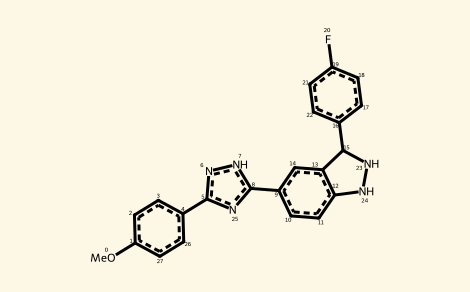 COc1ccc(-c2n[nH]c(-c3ccc4c(c3)C(c3ccc(F)cc3)NN4)n2)cc1